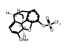 COC1=CC=C2[C@H]3Cc4ccc(OS(=O)(=O)C(F)(F)F)c5c4[C@@]2(CCN3)[C@H]1O5